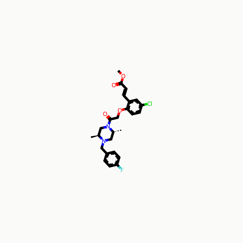 COC(=O)C=Cc1cc(Cl)ccc1OCC(=O)N1C[C@H](C)N(Cc2ccc(F)cc2)C[C@H]1C